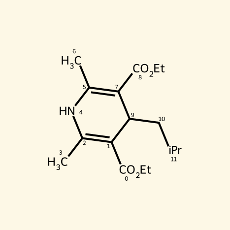 CCOC(=O)C1=C(C)NC(C)=C(C(=O)OCC)C1CC(C)C